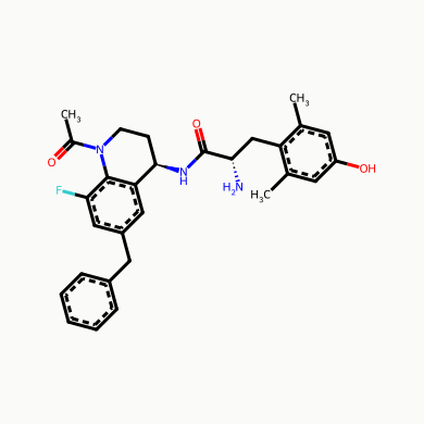 CC(=O)N1CC[C@@H](NC(=O)[C@@H](N)Cc2c(C)cc(O)cc2C)c2cc(Cc3ccccc3)cc(F)c21